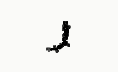 NCCCNC(=O)C1CCC(C(F)(F)c2cc(Cl)nc(N3CCN(S(=O)(=O)c4ccc5c(c4)OC[C@H]4[C@H](CO)OC(=O)N54)CC3)c2)CC1